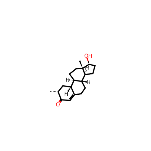 C[C@@H]1C[C@H]2C(=CC1=O)CC[C@@H]1[C@@H]2CC[C@]2(C)[C@@H](O)CC[C@@H]12